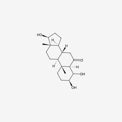 C[C@]12CC[C@H](O)C(O)[C@@H]1C(=O)C[C@@H]1[C@@H]2CC[C@]2(C)[C@@H](O)CC[C@@H]12